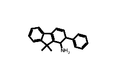 CC1(C)C2=C(C=CC(c3ccccc3)C2N)c2ccccc21